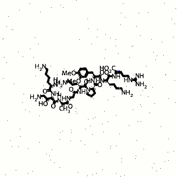 COc1ccc(C[C@H](NC(=O)[C@@H]2CCCN2C(=O)[C@@H](CCCN)NC(=O)CNC(=O)[C@H](C)NC(=O)[C@@H](NC(=O)[C@@H](N)CCCCN)[C@@H](O)CN)C(=O)N[C@@H](CCCCN)C(=O)N/C(=C\CCNC(=N)N)C(=O)O)cc1OC